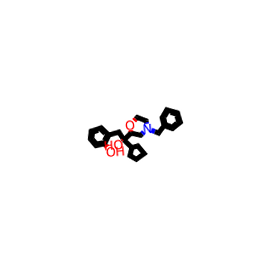 Oc1ccccc1CC(O)(C1CCCC1)C1CN(Cc2ccccc2)CCO1